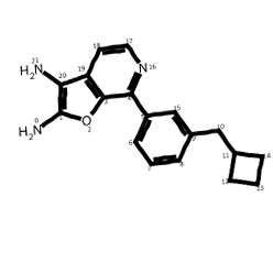 Nc1oc2c(-c3cccc(CC4CCC4)c3)nccc2c1N